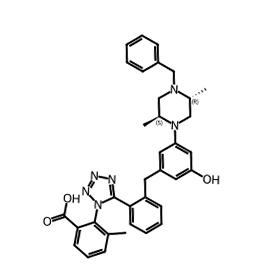 Cc1cccc(C(=O)O)c1-n1nnnc1-c1ccccc1Cc1cc(O)cc(N2C[C@@H](C)N(Cc3ccccc3)C[C@@H]2C)c1